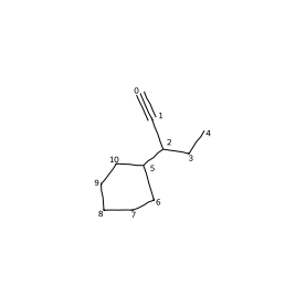 C#CC(CC)C1CCCCC1